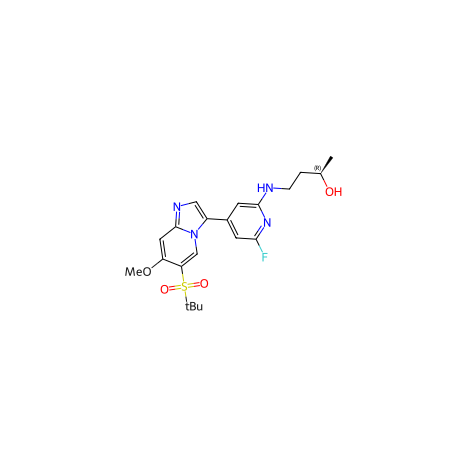 COc1cc2ncc(-c3cc(F)nc(NCC[C@@H](C)O)c3)n2cc1S(=O)(=O)C(C)(C)C